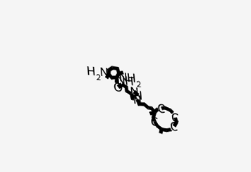 CC1CCCCCCCCCCC(C)(CCCCn2cc(CCC(=O)NC3(C)CC(C)(N)CCCC3(C)N)nn2)CCC1